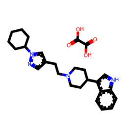 O=C(O)C(=O)O.c1ccc2c(C3CCN(CCc4cnn(C5CCCCC5)c4)CC3)c[nH]c2c1